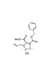 C=CC[C@]1(C)[C@@H](O)[C@@H](C)N(C(=O)OCc2ccccc2)[C@@H]1C(=O)OC